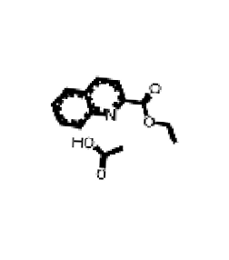 CC(=O)O.CCOC(=O)c1ccc2ccccc2n1